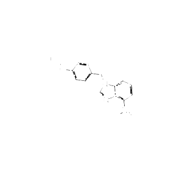 COc1ccc(Cn2cnc3c([N+](=O)[O-])cccc32)cc1